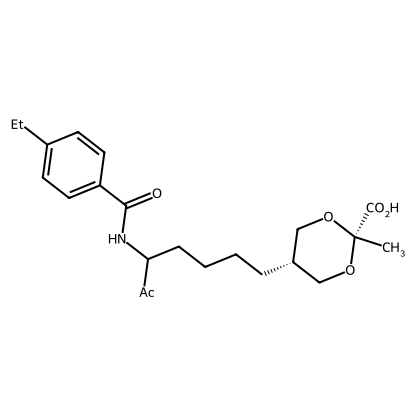 CCc1ccc(C(=O)NC(CCCC[C@H]2CO[C@@](C)(C(=O)O)OC2)C(C)=O)cc1